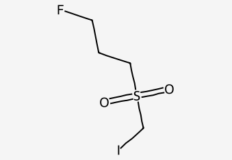 O=S(=O)(CI)CCCF